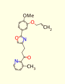 C=CCOc1cc(-c2nc(CCC(=O)c3ncccc3C)co2)ccc1OC